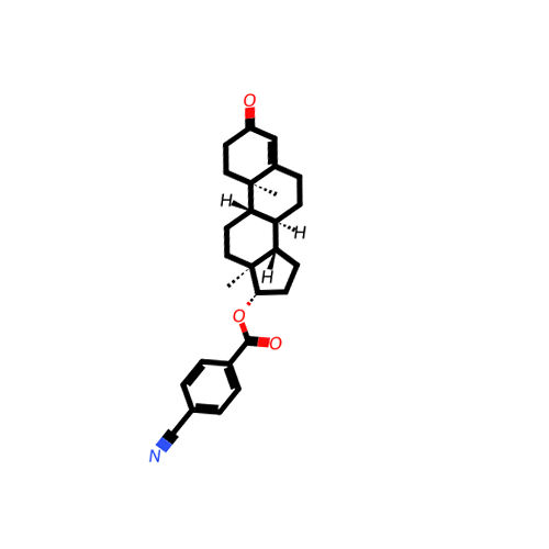 C[C@]12CC[C@H]3[C@@H](CCC4=CC(=O)CC[C@@]43C)[C@@H]1CC[C@@H]2OC(=O)c1ccc(C#N)cc1